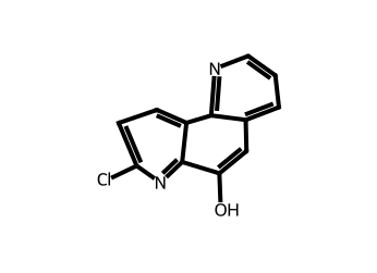 Oc1cc2cccnc2c2ccc(Cl)nc12